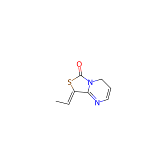 CC=c1sc(=O)n2c1=NC=CC2